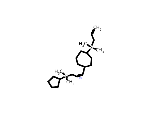 C=CC[Si](C)(C)C1CCCC(/C=C\C[Si](C)(C)C2CCCC2)CC1